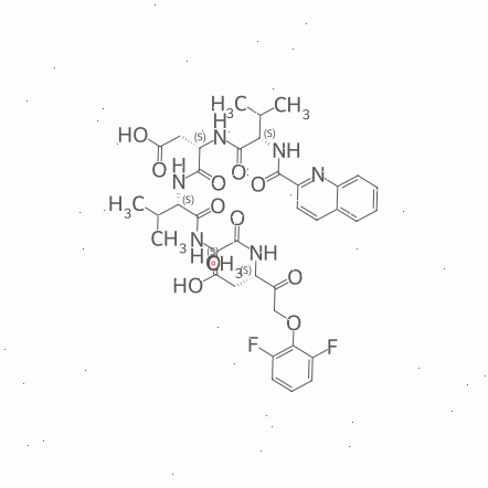 CC(C)[C@H](NC(=O)c1ccc2ccccc2n1)C(=O)N[C@@H](CC(=O)O)C(=O)N[C@H](C(=O)N[C@@H](C)C(=O)N[C@@H](CC(=O)O)C(=O)COc1c(F)cccc1F)C(C)C